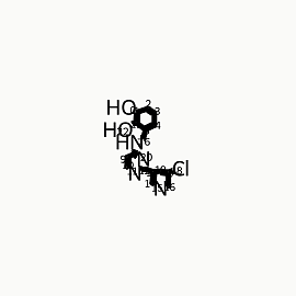 Oc1cccc(CNc2ccnc(-c3cncc(Cl)c3)n2)c1O